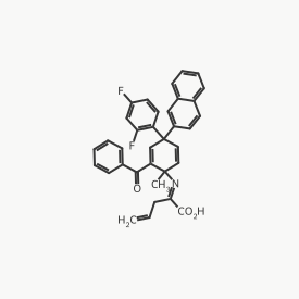 C=CCC(=NC1(C)C=CC(c2ccc3ccccc3c2)(c2ccc(F)cc2F)C=C1C(=O)c1ccccc1)C(=O)O